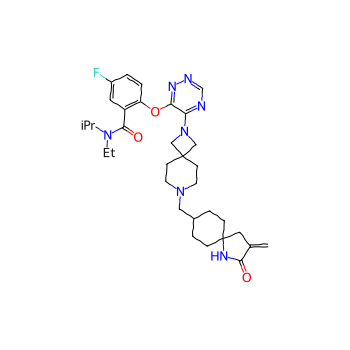 C=C1CC2(CCC(CN3CCC4(CC3)CN(c3ncnnc3Oc3ccc(F)cc3C(=O)N(CC)C(C)C)C4)CC2)NC1=O